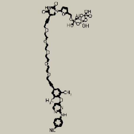 Cc1cc(C#CCOCCOCCOCCOCCOCC#Cc2cn(C3C=CC(COP(=O)(O)OP(=O)(O)OP(=O)(O)O)O3)c(=O)[nH]c2=O)cc(C)c1Oc1ccnc(Nc2ccc(C#N)cc2)n1